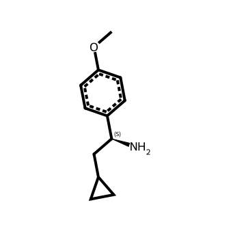 COc1ccc([C@@H](N)CC2CC2)cc1